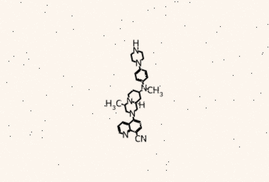 C[C@@H]1CN(c2ccc(C#N)c3ncccc23)C[C@@H]2C[C@H](N(C)c3ccc(N4CCNCC4)cc3)CCN21